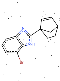 Brc1cccc2nc(C34C=CC(CC3)C4)[nH]c12